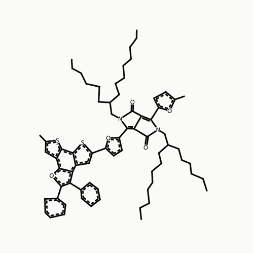 CCCCCCCCC(CCCCCC)CN1C(=O)C2=C(c3ccc(-c4cc5c(s4)c4sc(C)cc4c4oc(-c6ccccc6)c(-c6ccccc6)c54)o3)N(CC(CCCCCC)CCCCCCCC)C(=O)C2=C1c1ccc(C)o1